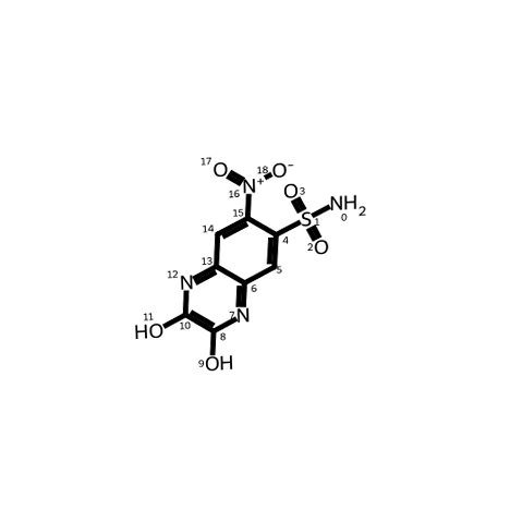 NS(=O)(=O)c1cc2nc(O)c(O)nc2cc1[N+](=O)[O-]